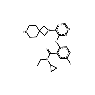 CCN(C(=O)c1cc(F)ccc1Oc1nncnc1N1CC2(CCNCC2)C1)C1CC1